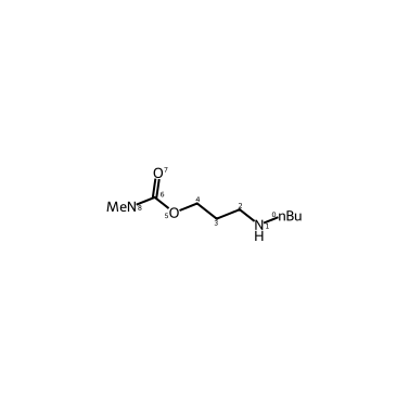 CCCCNCCCOC(=O)NC